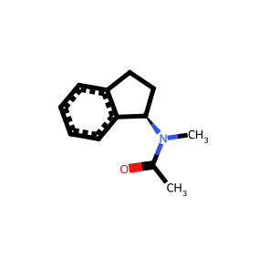 CC(=O)N(C)[C@@H]1CCc2ccccc21